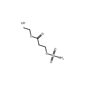 CCOC(=O)CCOS(N)(=O)=O.[LiH]